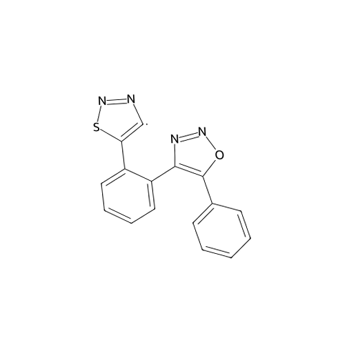 [c]1nnsc1-c1ccccc1-c1nnoc1-c1ccccc1